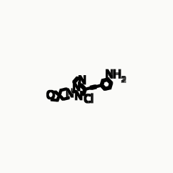 Nc1cccc(C#Cc2c(Cl)nc(N3CCC4(CCOC4)CC3)n3ccnc23)c1